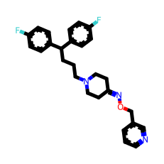 Fc1ccc(C(CCCN2CCC(=NOCc3cccnc3)CC2)c2ccc(F)cc2)cc1